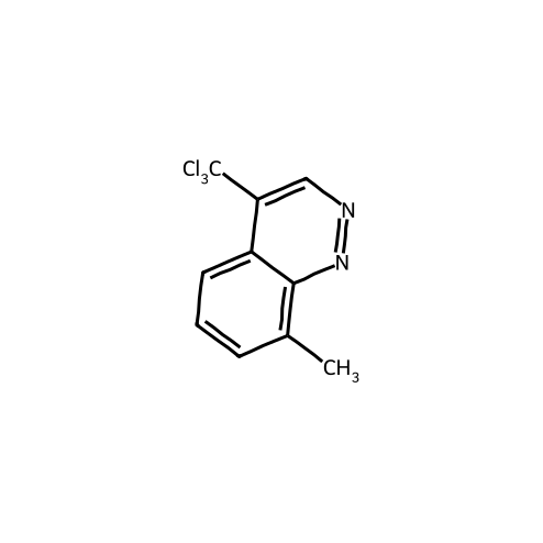 Cc1cccc2c(C(Cl)(Cl)Cl)cnnc12